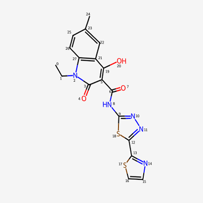 CCn1c(=O)c(C(=O)Nc2nnc(-c3nccs3)s2)c(O)c2cc(C)ccc21